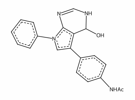 CC(=O)Nc1ccc(-c2cn(-c3ccccc3)c3c2C(O)NC=N3)cc1